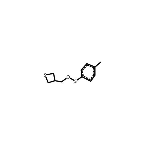 Cc1ccc(SOCC2CSC2)cc1